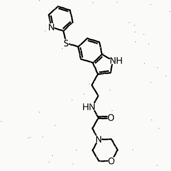 O=C(CN1CCOCC1)NCCc1c[nH]c2ccc(Sc3ccccn3)cc12